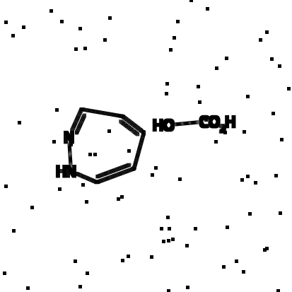 C1=CC=NNC=C1.O=C(O)O